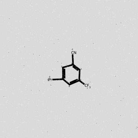 C[C](C)c1cc(C#N)cc(C(F)(F)F)c1